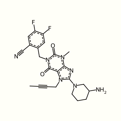 CC#CCn1c(N2CCCC(N)C2)nc2c1c(=O)n(Cc1cc(F)c(F)cc1C#N)c(=O)n2C